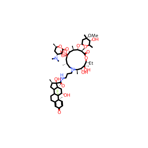 CC[C@H]1OC(=O)[C@H](C)[C@@H](O[C@@H]2C[C@](C)(OC)[C@H](O)C(C)O2)[C@H](C)[C@@H](O[C@@H]2O[C@H](C)C[C@@H](N(C)C)[C@H]2O)[C@](C)(O)C[C@@H](C)CN(CCCNC(=O)[C@@]2(O)[C@H](C)CC3C4CCC5=CC(=O)C=C[C@]5(C)[C@@]4(F)[C@@H](O)C[C@@]32C)[C@H](C)[C@@H](O)[C@]1(C)O